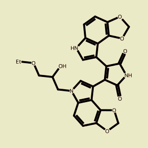 CCOCC(O)Cn1cc(C2=C(c3c[nH]c4ccc5c(c34)OCO5)C(=O)NC2=O)c2c3c(ccc21)OCO3